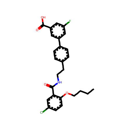 CCCCOc1ccc(Cl)cc1C(=O)NCCc1ccc(-c2cc(F)cc(C(=O)O)c2)cc1